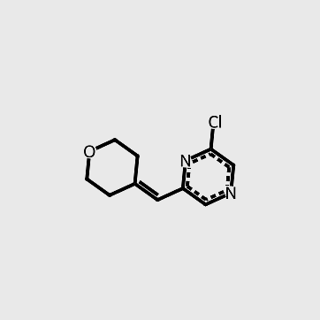 Clc1cncc(C=C2CCOCC2)n1